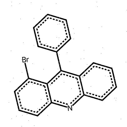 Brc1cccc2nc3ccccc3c(-c3ccccc3)c12